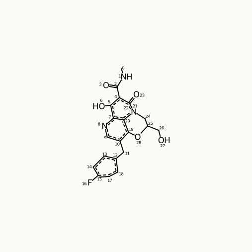 CNC(=O)c1c(O)c2ncc(Cc3ccc(F)cc3)c3c2n(c1=O)CC(CO)O3